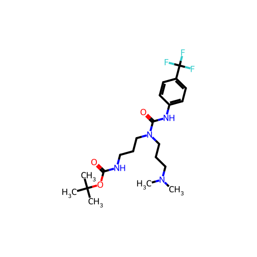 CN(C)CCCN(CCCNC(=O)OC(C)(C)C)C(=O)Nc1ccc(C(F)(F)F)cc1